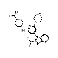 O=C(O)[C@H]1CC[C@H](Nc2cc(-n3c(C(F)F)nc4ccccc43)nc(N3CCOCC3)n2)CC1